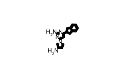 Nc1nc(C2Cc3ccccc3C2)cc(N2CC[C@@H](N)C2)n1